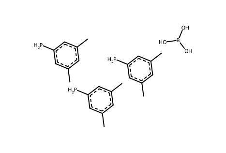 Cc1cc(C)cc(P)c1.Cc1cc(C)cc(P)c1.Cc1cc(C)cc(P)c1.OB(O)O